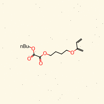 C=CC(=C)OCCCCOC(=O)C(=O)OCCCC